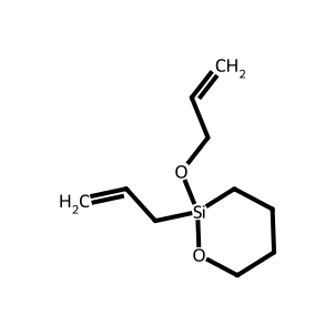 C=CCO[Si]1(CC=C)CCCCO1